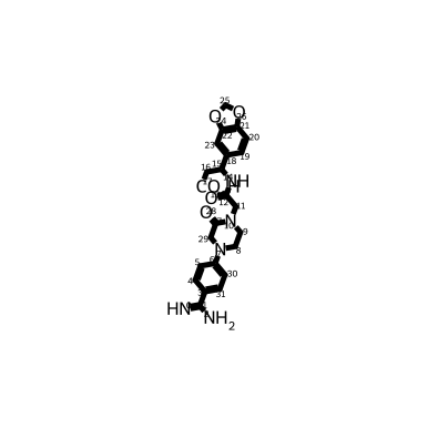 N=C(N)c1ccc(N2CCN(CC(=O)NC(CC(=O)O)c3ccc4c(c3)OCO4)C(=O)C2)cc1